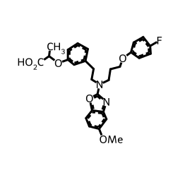 COc1ccc2oc(N(CCCOc3ccc(F)cc3)CCc3cccc(OC(C)C(=O)O)c3)nc2c1